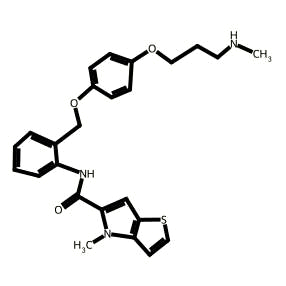 CNCCCOc1ccc(OCc2ccccc2NC(=O)c2cc3sccc3n2C)cc1